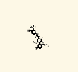 CN/C=C1/C=C(NC(=O)Cn2cc(OC)c(-c3cc(Cl)ccc3C(C)=O)cc2=O)C=CC1=N